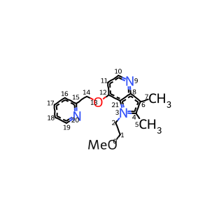 COCCn1c(C)c(C)c2nccc(OCc3ccccn3)c21